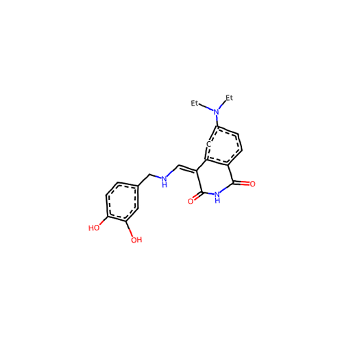 CCN(CC)c1ccc2c(c1)C(=CNCc1ccc(O)c(O)c1)C(=O)NC2=O